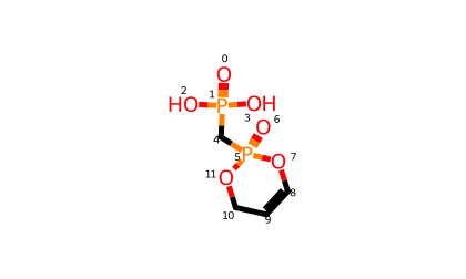 O=P(O)(O)CP1(=O)OC=CCO1